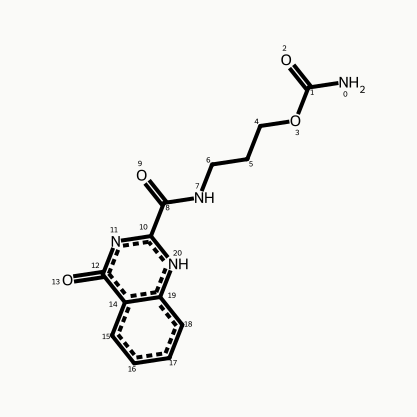 NC(=O)OCCCNC(=O)c1nc(=O)c2ccccc2[nH]1